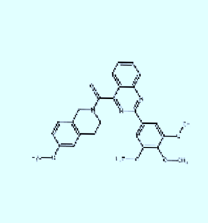 COc1ccc2c(c1)CCN(C(=O)c1nc(-c3cc(OC)c(OC)c(OC)c3)nc3ccccc13)C2